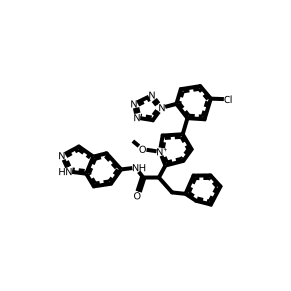 CO[n+]1cc(-c2cc(Cl)ccc2-n2cnnn2)ccc1C(Cc1ccccc1)C(=O)Nc1ccc2[nH]ncc2c1